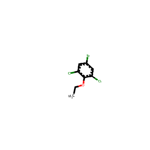 [CH2]COc1c(Cl)cc(Br)cc1Cl